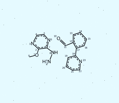 COc1nccnc1NN.O=Cc1ccccc1-c1ccccn1